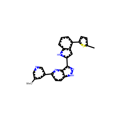 COc1cncc(-c2ccc3[nH]nc(-c4cc5c(-c6ccc(C)s6)cccc5[nH]4)c3n2)c1